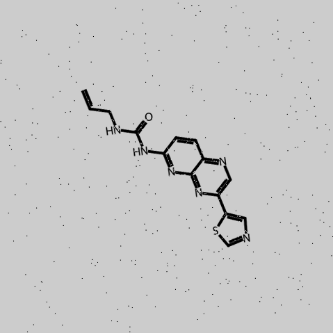 C=CCNC(=O)Nc1ccc2ncc(-c3cncs3)nc2n1